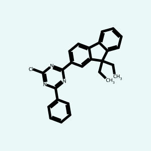 CCC1(CC)c2ccccc2-c2ccc(-c3nc(Cl)nc(-c4ccccc4)n3)cc21